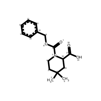 CC1(C)CCN(C(=O)OCc2ccccc2)C(C(=O)O)C1